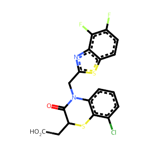 O=C(O)CC1Sc2c(Cl)cccc2N(Cc2nc3c(F)c(F)ccc3s2)C1=O